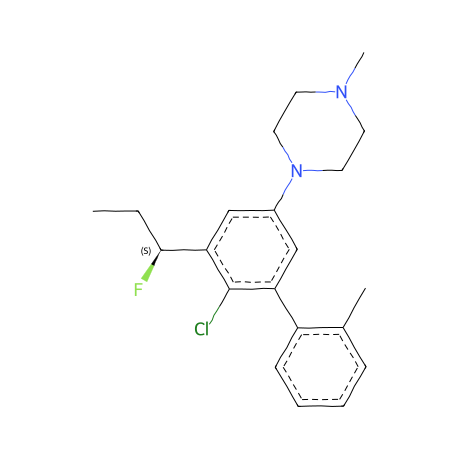 CC[C@H](F)c1cc(N2CCN(C)CC2)cc(-c2ccccc2C)c1Cl